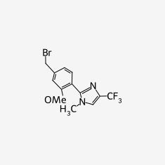 COc1cc(CBr)ccc1-c1nc(C(F)(F)F)cn1C